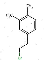 Cc1ccc(CCBr)cc1C